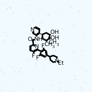 CCN1CCC(c2cc(F)c(-c3nc(C(=O)Nc4cnccc4[C@H]4C[C@@H](O)[C@](C)(O)[C@@H](C)C4)ccc3F)c(F)c2)CC1